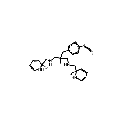 CC(CNCC1(S)C=CC=CN1)(CNCC1(S)C=CC=CN1)Cc1ccc(N=C=S)cc1